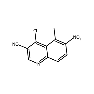 Cc1c([N+](=O)[O-])ccc2ncc(C#N)c(Cl)c12